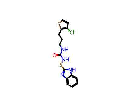 O=C(NCCCc1sccc1Cl)NSc1nc2ccccc2[nH]1